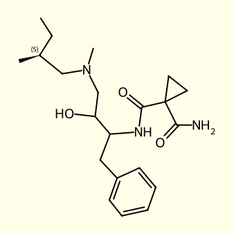 CC[C@H](C)CN(C)CC(O)C(Cc1ccccc1)NC(=O)C1(C(N)=O)CC1